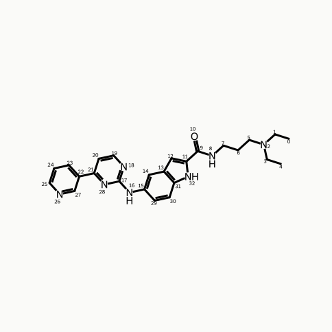 CCN(CC)CCCNC(=O)c1cc2cc(Nc3nccc(-c4cccnc4)n3)ccc2[nH]1